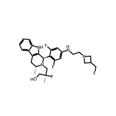 C[C@@H]1Cc2c([nH]c3ccccc23)[C@@H](c2c(F)cc(NCCN3CC(CF)C3)cc2F)N1C[C@@](C)(F)CO